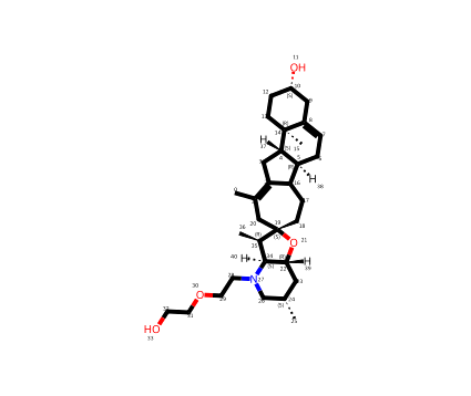 CC1=C2C[C@H]3[C@@H](CC=C4C[C@@H](O)CC[C@@]43C)C2CC[C@@]2(C1)O[C@@H]1C[C@H](C)CN(CCOCCO)[C@H]1[C@H]2C